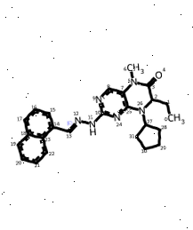 CCC1C(=O)N(C)c2cnc(N/N=C/c3cccc4ccccc34)nc2N1C1CCCC1